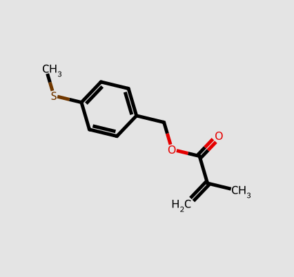 C=C(C)C(=O)OCc1ccc(SC)cc1